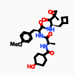 COc1ccc(C[C@H](NC(=O)[C@@H](C)NC(=O)C2CCC(O)CC2)C(=O)N[C@@H](CC2CCC2)C(=O)[C@@]2(C)CO2)cc1